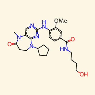 COc1cc(C(=O)NCCCCO)ccc1Nc1ncc2c(n1)N(C1CCCC1)CCC(=O)N2C